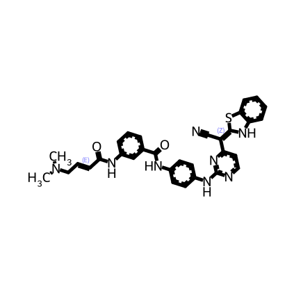 CN(C)C/C=C/C(=O)Nc1cccc(C(=O)Nc2ccc(Nc3nccc(/C(C#N)=C4\Nc5ccccc5S4)n3)cc2)c1